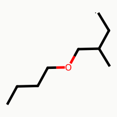 [CH2]CC(C)COCCCC